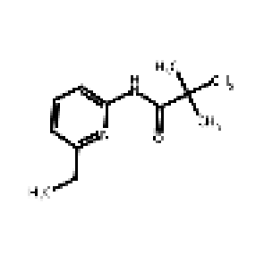 CCc1cccc(NC(=O)C(C)(C)C)n1